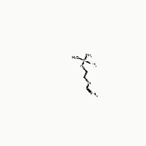 C=COCCO[Si](C)(C)C